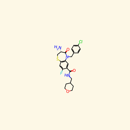 N[C@H]1CSc2cc(F)c(C(=O)NCC3CCOCC3)cc2N(Cc2ccc(Cl)cc2)C1=O